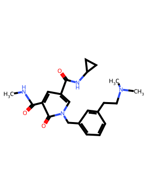 CNC(=O)c1cc(C(=O)NC2CC2)cn(Cc2cccc(CCN(C)C)c2)c1=O